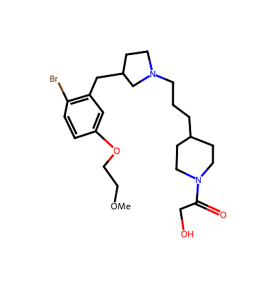 COCCOc1ccc(Br)c(CC2CCN(CCCC3CCN(C(=O)CO)CC3)C2)c1